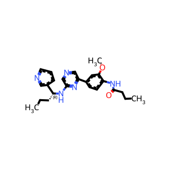 CCCC(=O)Nc1ccc(-c2cncc(N[C@H](CCC)c3cccnc3)n2)cc1OC